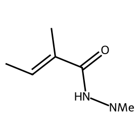 CC=C(C)C(=O)NNC